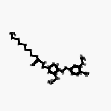 CCCCCCCCCC(=O)OCc1ccc(OCc2ccc(O)c(OC)c2)c(OC)c1